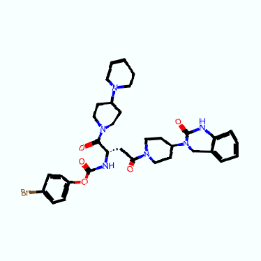 O=C(N[C@@H](CC(=O)N1CCC(N2Cc3ccccc3NC2=O)CC1)C(=O)N1CCC(N2CCCCC2)CC1)Oc1ccc(Br)cc1